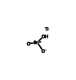 [O-][Br+2]([O-])O.[Tl]